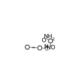 NC(=O)c1cccc(C(=O)N2CCC(c3ccc(C#Cc4ccccc4)cc3)=N2)c1